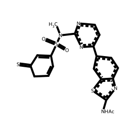 CC(=O)Nc1nc2ccc(-c3ccnc(N(C)S(=O)(=O)C4=CC(=S)CC=C4)n3)cc2s1